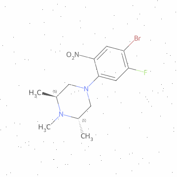 C[C@H]1CN(c2cc(F)c(Br)cc2[N+](=O)[O-])C[C@H](C)N1C